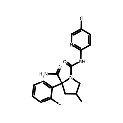 CC1CN(C(=O)Nc2ccc(Cl)cn2)C(C(N)=O)(c2ccccc2F)C1